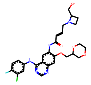 O=C(/C=C/CN1CCC1CO)Nc1cc2c(Nc3ccc(F)c(Cl)c3)ncnc2cc1OCC1COCCO1